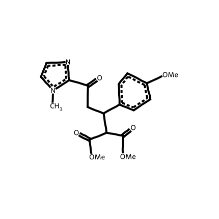 COC(=O)C(C(=O)OC)C(CC(=O)c1nccn1C)c1ccc(OC)cc1